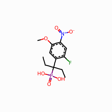 CCC(CC)(c1cc(OC)c([N+](=O)[O-])cc1F)P(=O)(O)O